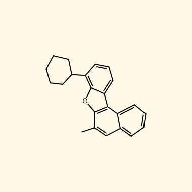 Cc1cc2ccccc2c2c1oc1c(C3CCCCC3)cccc12